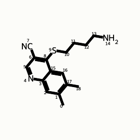 Cc1cc2ncc(C#N)c(SCCCCN)c2cc1C